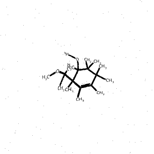 [3H]OC1(C)C(C)(C)C(C)(C)C(C)=C(C)C1(C)C(C)(C)OC